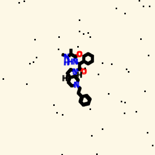 CNC(C)C(=O)N[C@H](C(=O)N1CC[C@@H]2CCN(CCc3ccccc3)C[C@H]21)C1CCCCC1